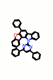 c1ccc(-c2cc(-c3ccccc3)nc(-n3c4ccccc4c4cc(-c5ccccc5)c5oc6ccccc6c5c43)n2)cc1